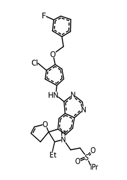 CCC(NCCS(=O)(=O)C(C)C)C1(c2ccc3ncnc(Nc4ccc(OCc5cccc(F)c5)c(Cl)c4)c3c2)CC=CO1